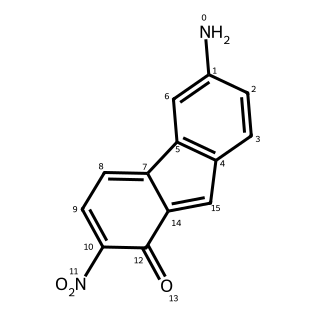 Nc1ccc2c(c1)C1=CC=C([N+](=O)[O-])C(=O)C1=C2